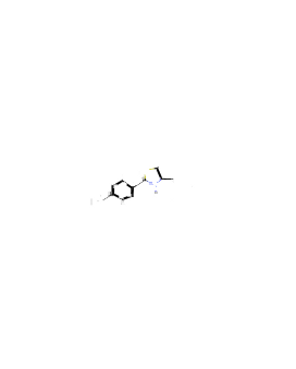 CCOC(=O)C1=CSC(c2ccc(C(C)C)cc2)N1C